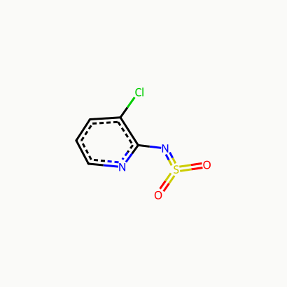 O=S(=O)=Nc1ncccc1Cl